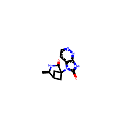 C=C1NC(=O)C2(n3c(=O)[nH]c4nnccc43)CC1C2